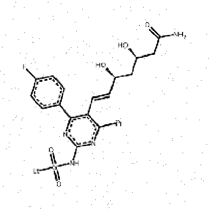 CCS(=O)(=O)Nc1nc(-c2ccc(F)cc2)c(/C=C/[C@@H](O)C[C@@H](O)CC(N)=O)c(C(C)C)n1